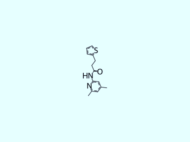 Cc1cc(C)nc(NC(=O)CCc2cccs2)c1